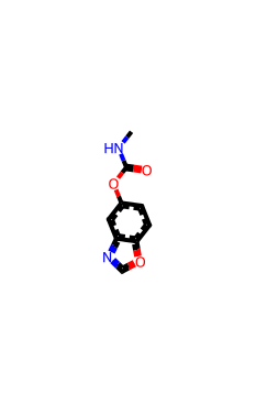 CNC(=O)Oc1ccc2ocnc2c1